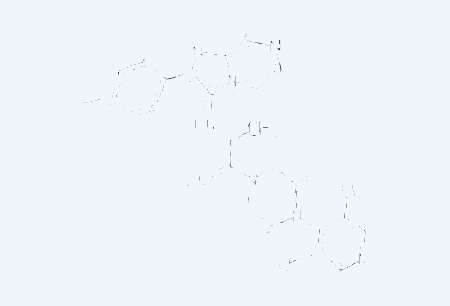 CC(Nc1c(-c2ccc(F)cc2)nc2cnccn12)C(=O)N1CCN(c2c(Cl)cncc2Cl)CC1